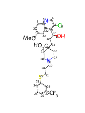 COc1ccc2ncc(Cl)c([C@@H](O)CCC3(C(=O)O)CCN(CCCSc4cccc(C(F)(F)F)c4)CC3)c2c1